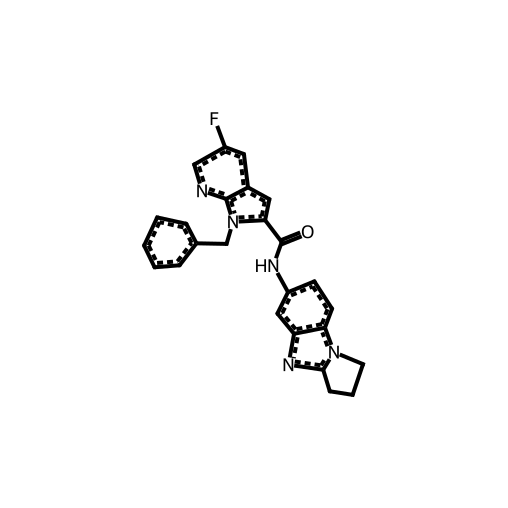 O=C(Nc1ccc2c(c1)nc1n2CCC1)c1cc2cc(F)cnc2n1Cc1ccccc1